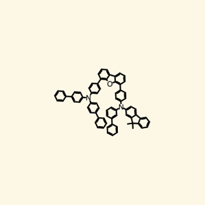 CC1(C)c2ccccc2-c2ccc(N(c3ccc(-c4cccc5c4oc4c(-c6ccc(N(c7ccc(-c8ccccc8)cc7)c7ccc(-c8ccccc8)cc7)cc6)cccc45)cc3)c3cccc(-c4ccccc4)c3)cc21